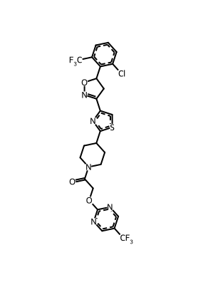 O=C(COc1ncc(C(F)(F)F)cn1)N1CCC(c2nc(C3=NOC(c4c(Cl)cccc4C(F)(F)F)C3)cs2)CC1